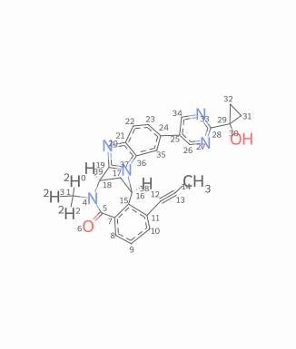 [2H]C([2H])([2H])N1C(=O)c2cccc(C#CC)c2[C@H]2C[C@@H]1c1nc3ccc(-c4cnc(C5(O)CC5)nc4)cc3n12